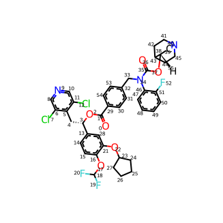 O=C(O[C@@H](Cc1c(Cl)cncc1Cl)c1ccc(OC(F)F)c(OC2CCCC2)c1)c1ccc(CN(C(=O)O[C@H]2CN3CCC2CC3)c2ccccc2F)cc1